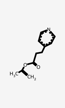 C=C(C)OC(=O)CCc1ccncc1